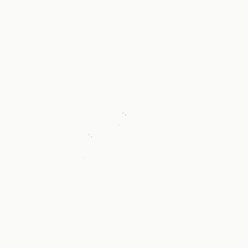 Cc1ccc(CN2OCCC(N3CCCC(C)(F)C3)C2=O)cc1